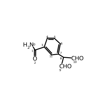 NC(=O)c1cccc(C(C=O)C=O)c1